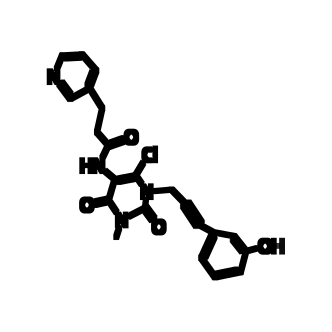 Cn1c(=O)c(NC(=O)CCc2cccnc2)c(Cl)n(CC#Cc2cccc(O)c2)c1=O